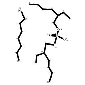 CCCCC(CC)COP(=O)([O-])OCC(CC)CCCC.CCCCCC[CH2][Ni+]